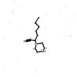 CCCCCC(C#N)N1CCNCC1